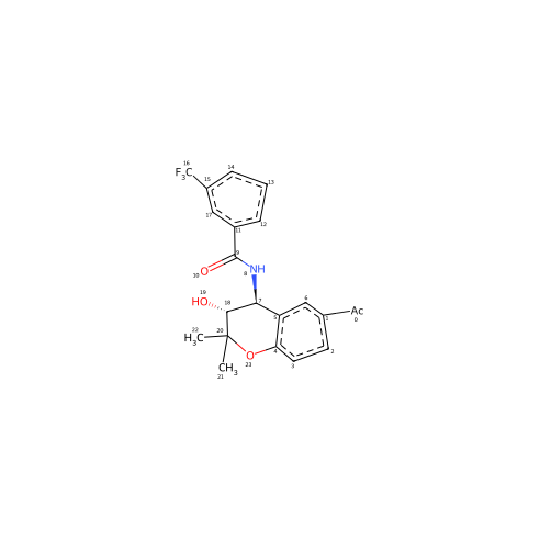 CC(=O)c1ccc2c(c1)[C@H](NC(=O)c1cccc(C(F)(F)F)c1)[C@@H](O)C(C)(C)O2